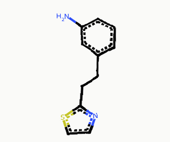 Nc1cccc(CCc2nccs2)c1